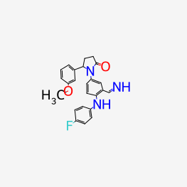 COc1cccc(C2CCC(=O)N2c2ccc(Nc3ccc(F)cc3)c(C=N)c2)c1